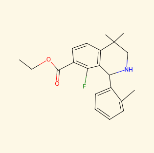 CCOC(=O)c1ccc2c(c1F)C(c1ccccc1C)NCC2(C)C